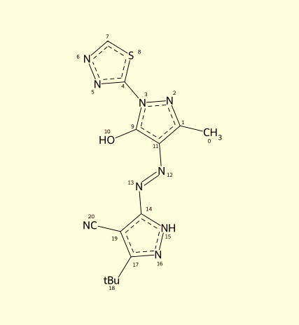 Cc1nn(-c2nncs2)c(O)c1/N=N/c1[nH]nc(C(C)(C)C)c1C#N